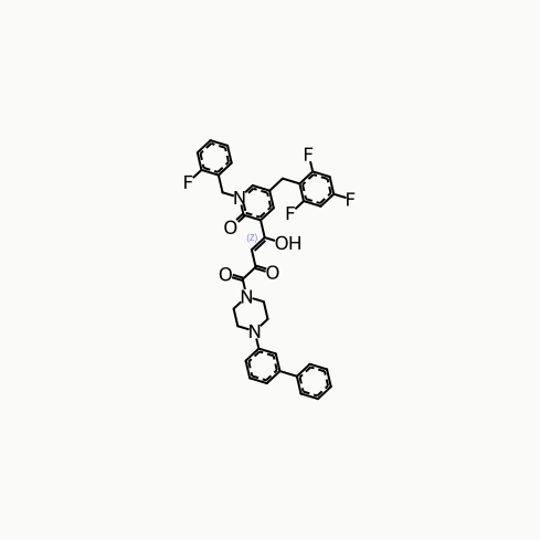 O=C(/C=C(\O)c1cc(Cc2c(F)cc(F)cc2F)cn(Cc2ccccc2F)c1=O)C(=O)N1CCN(c2cccc(-c3ccccc3)c2)CC1